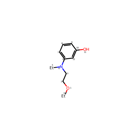 CCOCCN(CC)c1cccc(O)c1